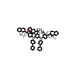 CC(C)(c1ccc(N(c2ccc(-c3ccccc3)cc2)c2cc(N(c3ccc(-c4ccccc4)cc3)c3ccc(C(C)(C)c4ccc5ccccc5c4)cc3)c3c(c2)C(C)(C)c2cc4ccccc4cc2-3)cc1)c1ccc2ccccc2c1